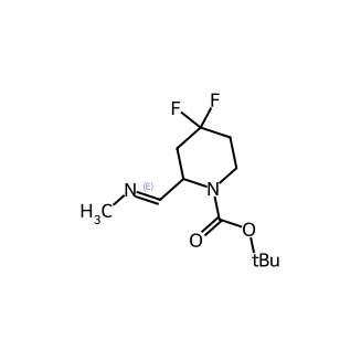 C/N=C/C1CC(F)(F)CCN1C(=O)OC(C)(C)C